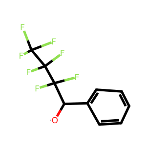 [O]C(c1ccccc1)C(F)(F)C(F)(F)C(F)(F)F